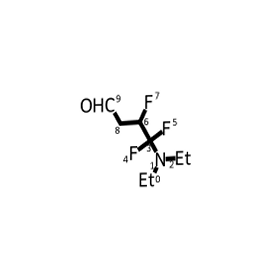 CCN(CC)C(F)(F)C(F)CC=O